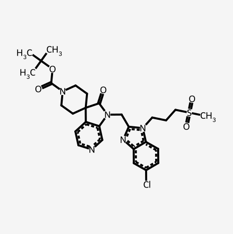 CC(C)(C)OC(=O)N1CCC2(CC1)C(=O)N(Cc1nc3cc(Cl)ccc3n1CCCS(C)(=O)=O)c1cnccc12